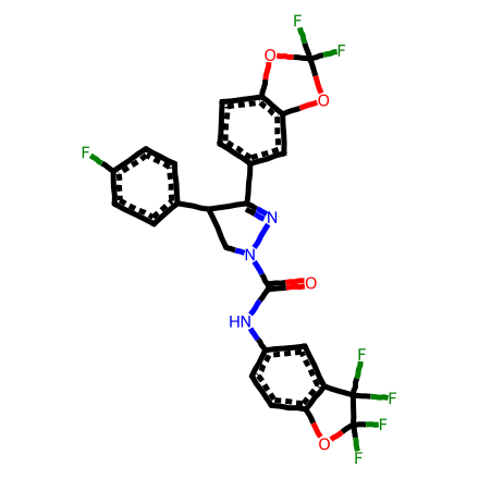 O=C(Nc1ccc2c(c1)C(F)(F)C(F)(F)O2)N1CC(c2ccc(F)cc2)C(c2ccc3c(c2)OC(F)(F)O3)=N1